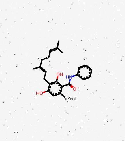 CCCCCc1cc(O)c(C/C=C(\C)CCC=C(C)C)c(O)c1C(=O)Nc1ccccc1